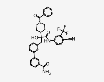 N#Cc1ccc(NC(=O)C(O)(Cc2cccc(-c3cccc(C(N)=O)c3)c2)C2CCN(C(=O)c3ccccc3)CC2)cc1C(F)(F)F